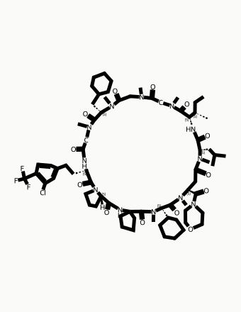 CC[C@H](C)[C@@H]1NC(=O)[C@H](CC(C)C)N(C)C(=O)C[C@@H](C(=O)N2CCOCC2)N(C)C(=O)[C@H](C2CCCCC2)N(C)C(=O)C2(CCCC2)NC(=O)[C@@H]2CCCN2C(=O)[C@H](CCc2ccc(C(F)(F)F)c(Cl)c2)NC(=O)CN(C)C(=O)[C@H](CC2CCCCC2)N(C)C(=O)CN(C)C(=O)CN(C)C1=O